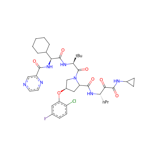 CCC[C@H](NC(=O)C1C[C@@H](Oc2cc(I)ccc2Cl)CN1C(=O)[C@@H](NC(=O)[C@@H](NC(=O)c1cnccn1)C1CCCCC1)C(C)(C)C)C(=O)C(=O)NC1CC1